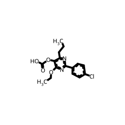 CCCc1nc(-c2ccc(Cl)cc2)nc(OCC)c1OC(=O)O